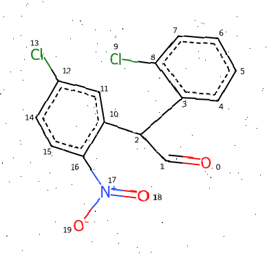 O=CC(c1ccccc1Cl)c1cc(Cl)ccc1[N+](=O)[O-]